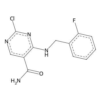 NC(=O)c1cnc(Cl)nc1NCc1ccccc1F